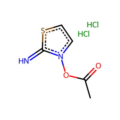 CC(=O)On1ccsc1=N.Cl.Cl